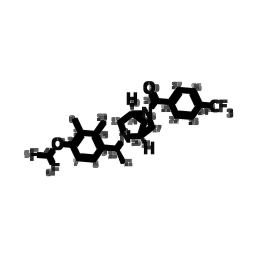 Cc1c(OC(F)F)ccc([C@H](C)N2C[C@@H]3C[C@H]2CN3C(=O)c2ccc(C(F)(F)F)cc2)c1C